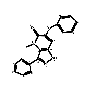 Cn1c(=O)c(Oc2ccccc2)cc2[nH]nc(-c3ccccc3)c21